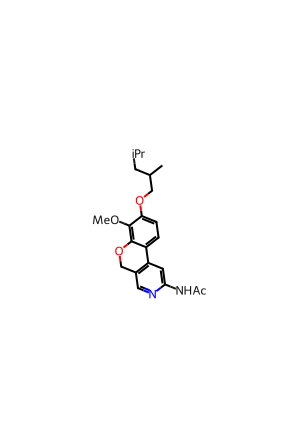 COc1c(OCC(C)CC(C)C)ccc2c1OCc1cnc(NC(C)=O)cc1-2